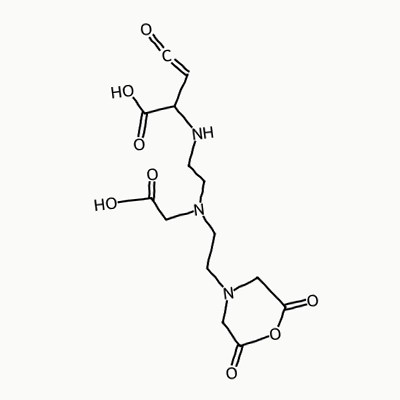 O=C=CC(NCCN(CCN1CC(=O)OC(=O)C1)CC(=O)O)C(=O)O